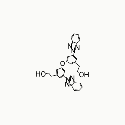 OCCc1cc(Oc2cc(CCO)cc(-n3nc4ccccc4n3)c2)cc(-n2nc3ccccc3n2)c1